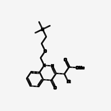 CCC(C(=O)OC)c1nn(COCC[Si](C)(C)C)c2ccccc2c1=O